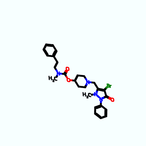 CN(CCc1ccccc1)C(=O)OC1CCN(Cc2c(Br)c(=O)n(-c3ccccc3)n2C)CC1